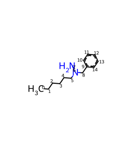 CCCCCCN(N)Cc1ccccc1